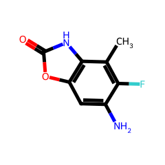 Cc1c(F)c(N)cc2oc(=O)[nH]c12